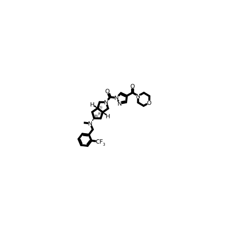 CN(Cc1ccccc1C(F)(F)F)[C@@H]1C[C@@H]2CN(C(=O)n3cc(C(=O)N4CCOCC4)cn3)C[C@@H]2C1